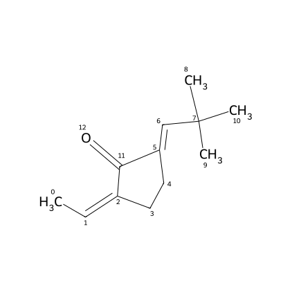 CC=C1CCC(=CC(C)(C)C)C1=O